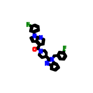 O=C(c1ccnc2c1ccn2-c1cccc(F)c1)N1CCC(c2nc3ccccc3n2Cc2cccc(F)c2)CC1